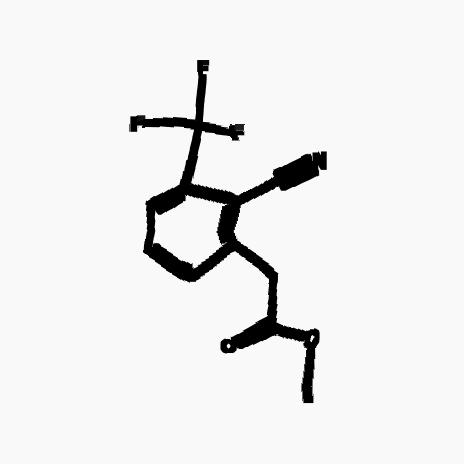 COC(=O)Cc1cccc(C(F)(F)F)c1C#N